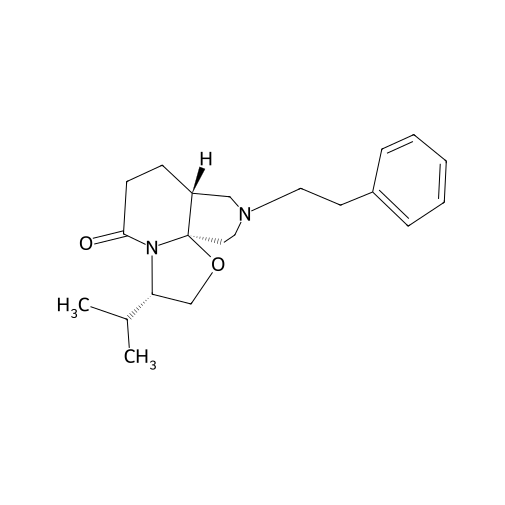 CC(C)[C@H]1CO[C@]23CCN(CCc4ccccc4)C[C@H]2CCC(=O)N13